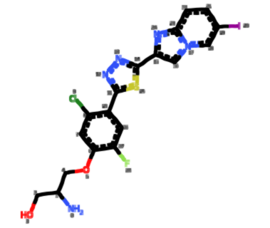 NC(CO)COc1cc(Cl)c(-c2nnc(-c3cn4cc(I)ccc4n3)s2)cc1F